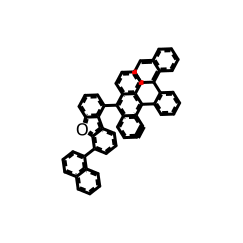 c1ccc2c(-c3cccc4oc5c(-c6cccc7ccccc67)cccc5c34)c3ccccc3c(-c3ccccc3C3=c4ccccc4=CCC3)c2c#1